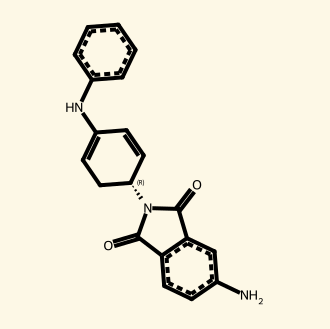 Nc1ccc2c(c1)C(=O)N([C@H]1C=CC(Nc3ccccc3)=CC1)C2=O